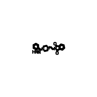 O=C1c2ccccc2C(=O)N1CCN1CCN(c2n[nH]c3ccccc23)CC1